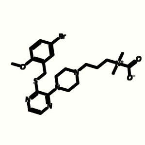 COc1ccc(Br)cc1CSc1nccnc1N1CCN(CCC[N+](C)(C)C(=O)[O-])CC1